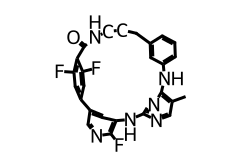 Cc1cnc2nc1Nc1cccc(c1)CCCNC(=O)c1c(F)cc(cc1F)-c1cnc(F)c(c1)N2